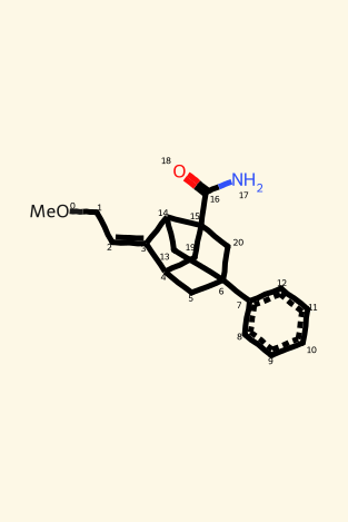 COC/C=C1/C2CC3(c4ccccc4)CC1C(C(N)=O)(C2)C3